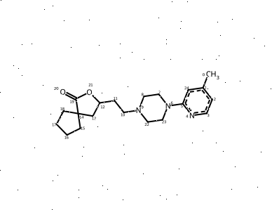 Cc1ccnc(N2CCN(CCC3CC4(CCCC4)C(=O)O3)CC2)c1